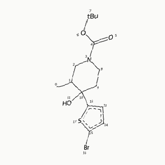 CC1CN(C(=O)OC(C)(C)C)CCC1(O)c1ccc(Br)s1